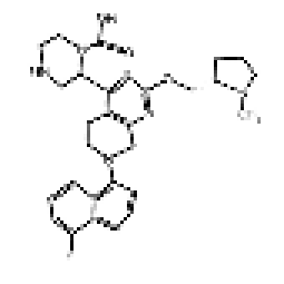 CN1CCC[C@H]1COc1nc2c(c(C3CNCCN3C(=O)O)n1)CCN(c1cccc3c(F)cccc13)C2